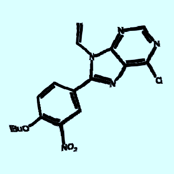 C=Cn1c(-c2ccc(OCC(C)C)c([N+](=O)[O-])c2)nc2c(Cl)ncnc21